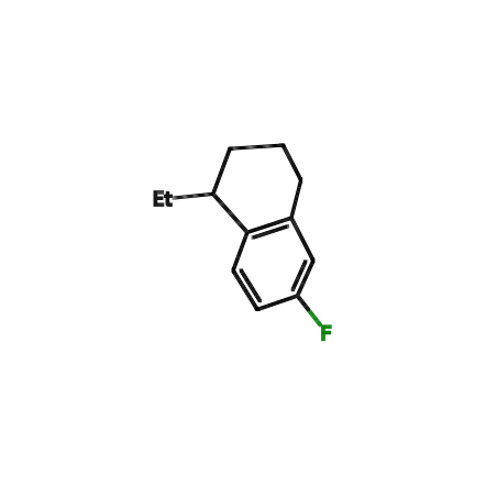 CCC1CCCc2cc(F)ccc21